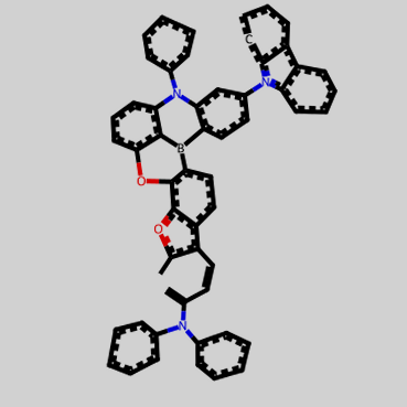 C=C(/C=C\c1c(C)oc2c3c(ccc12)B1c2ccc(-n4c5ccccc5c5ccccc54)cc2N(c2ccccc2)c2cccc(c21)O3)N(c1ccccc1)c1ccccc1